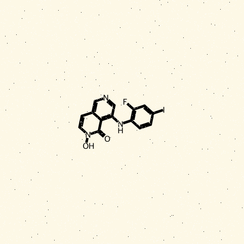 O=c1c2c(Nc3ccc(I)cc3F)cncc2ccn1O